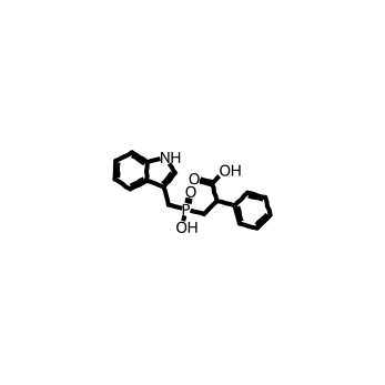 O=C(O)C(CP(=O)(O)Cc1c[nH]c2ccccc12)c1ccccc1